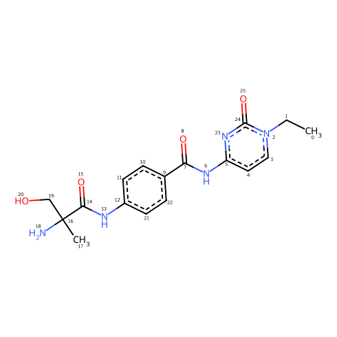 CCn1ccc(NC(=O)c2ccc(NC(=O)C(C)(N)CO)cc2)nc1=O